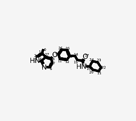 Cc1c[nH]c2nccc(Oc3ccc(CCC(=O)NC4CCCCC4)cc3)c12